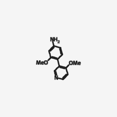 COc1cc(N)ccc1-c1cnccc1OC